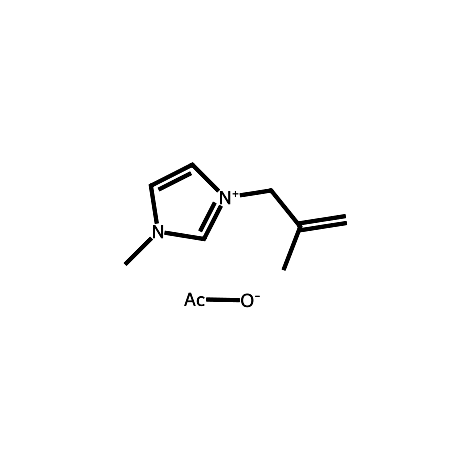 C=C(C)C[n+]1ccn(C)c1.CC(=O)[O-]